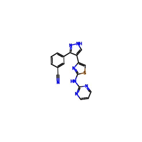 N#Cc1cccc(-c2n[nH]cc2-c2csc(Nc3ncccn3)n2)c1